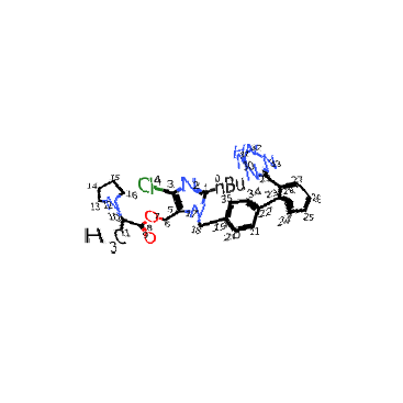 CCCCc1nc(Cl)c(COC(=O)C(C)N2CCCC2)n1Cc1ccc(-c2ccccc2-c2nn[nH]n2)cc1